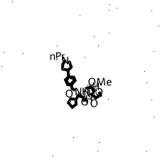 CCCN1CCC(c2ccc(C(=O)N[C@H](C(=O)N3C[C@H](OC)[C@H]4OCC(=O)[C@H]43)C3CCCC3)cc2)CC1